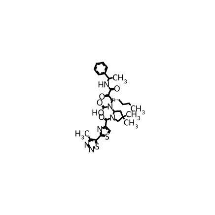 CCCC[C@@H](C(=O)C(=O)NC(C)c1ccccc1)N(C(=O)O)C1CC(C)(C)CN1C(=O)c1csc(-c2snnc2C)n1